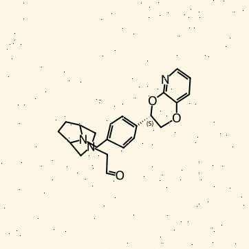 O=CCN1CC2CCC(C1)N2Cc1ccc([C@H]2COc3cccnc3O2)cc1